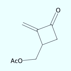 C=C1C(=O)CC1COC(C)=O